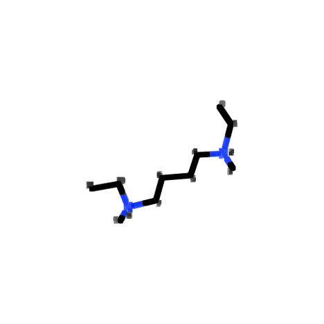 CCN(C)CCCCN(C)CC